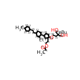 C=CC(=O)OCCc1cc(-c2ccc(CCc3ccc(C)cc3)cc2CC)ccc1OCCC(CO)(CO)CCCC